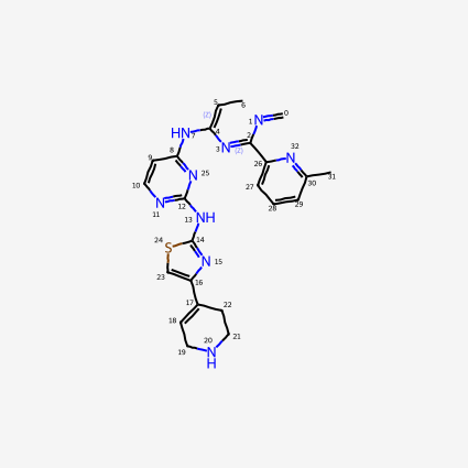 C=N/C(=N\C(=C/C)Nc1ccnc(Nc2nc(C3=CCNCC3)cs2)n1)c1cccc(C)n1